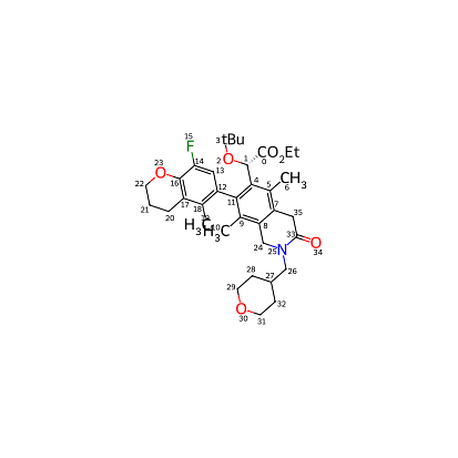 CCOC(=O)[C@@H](OC(C)(C)C)c1c(C)c2c(c(C)c1-c1cc(F)c3c(c1C)CCCO3)CN(CC1CCOCC1)C(=O)C2